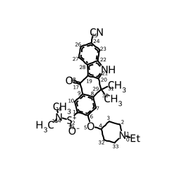 CCN1CCC(Oc2cc3c(cc2[S+]([O-])N(C)C)C(=O)c2c([nH]c4cc(C#N)ccc24)C3(C)C)CC1